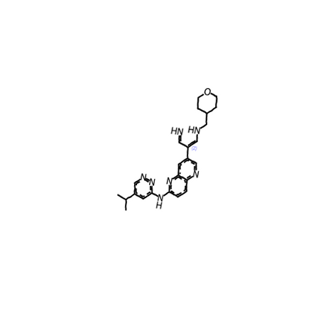 CC(C)c1cnnc(Nc2ccc3ncc(/C(C=N)=C/NCC4CCOCC4)cc3n2)c1